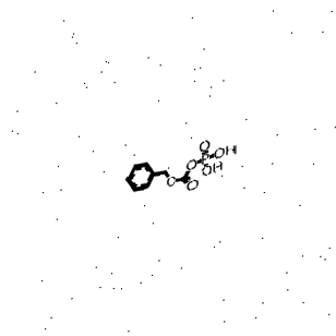 O=C(OCc1ccccc1)OP(=O)(O)O